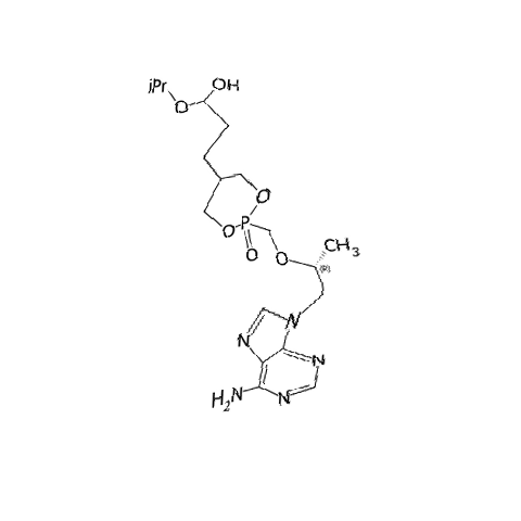 CC(C)OC(O)CCC1COP(=O)(CO[C@H](C)Cn2cnc3c(N)ncnc32)OC1